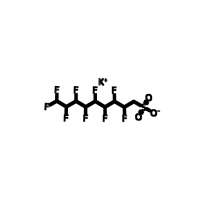 O=S(=O)([O-])CC(F)C(F)C(F)C(F)C(F)C(F)C(F)C(F)F.[K+]